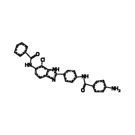 Nc1ccc(C(=O)Nc2ccc(-c3nc4ccc(NC(=O)c5ccccc5)c(Cl)c4[nH]3)cc2)cc1